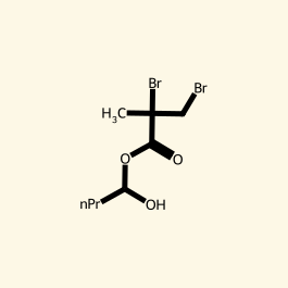 CCCC(O)OC(=O)C(C)(Br)CBr